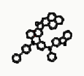 c1ccc(-c2ccc(N(c3ccccc3)c3ccc(N(c4ccccc4)c4ccc5c(c4)sc4ccccc45)cc3-c3ccc4oc5cc6ccc7cccc8ccc(c5c4c3)c6c78)cc2)cc1